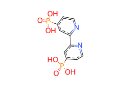 O=P(O)(O)c1ccnc(-c2cc(P(=O)(O)O)ccn2)c1